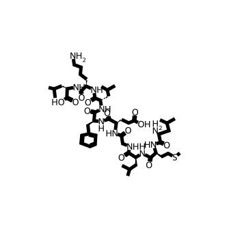 CSCC[C@H](NC(=O)[C@@H](N)CC(C)C)C(=O)N[C@@H](CC(C)C)C(=O)NCC(=O)N[C@@H](CCC(=O)O)C(=O)N[C@@H](Cc1ccccc1)C(=O)N[C@@H](CC(C)C)C(=O)N[C@@H](CCCCN)C(=O)N[C@@H](CC(C)C)C(=O)O